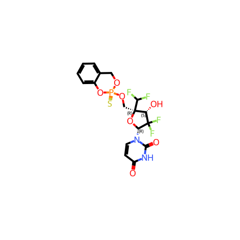 O=c1ccn([C@@H]2O[C@@](COP3(=S)OCc4ccccc4O3)(C(F)F)[C@H](O)C2(F)F)c(=O)[nH]1